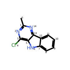 Cc1nc(Cl)c2[nH]c3ccccc3c2n1